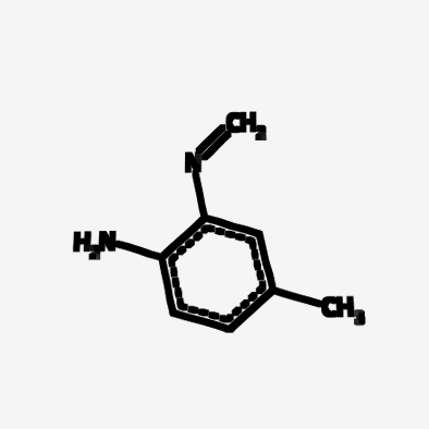 C=Nc1cc(C)ccc1N